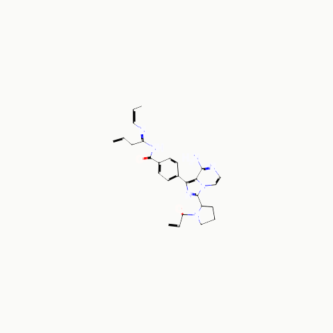 C=CC/C(=N\C=C/C)NC(=O)c1ccc(-c2nc(C3CCCN3C(=O)C=C)n3ccnc(N)c23)cc1